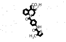 Cc1ccsc1C(=O)Nc1ccc(C(=O)N2CCC(F)(F)/C(=C\C(=O)O)c3ccccc32)cc1